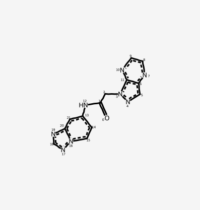 O=C(Cn1ncc2nccnc21)Nc1ccn2ncnc2c1